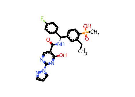 CCc1cc([C@H](NC(=O)c2cnc(-n3cccn3)nc2O)c2ccc(F)cc2)ccc1P(C)(=O)O